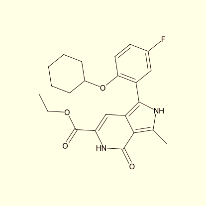 CCOC(=O)c1cc2c(-c3cc(F)ccc3OC3CCCCC3)[nH]c(C)c2c(=O)[nH]1